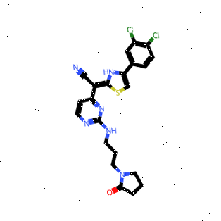 N#C/C(=C1\NC(c2ccc(Cl)c(Cl)c2)=CS1)c1ccnc(NCCCN2CCCC2=O)n1